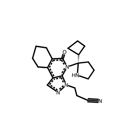 N#CCCn1ncc2c3c(c(=O)n([C@@]4(C5CCC5)CCCN4)c21)CCCC3